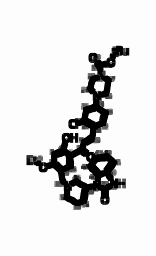 CCOc1cc(O)c(C(=O)/C=C/c2ccc(N3CCN(C(=O)OC(C)(C)C)CC3)cc2Cl)cc1CN1CCC=C(n2c(=O)[nH]c3ccccc32)C1